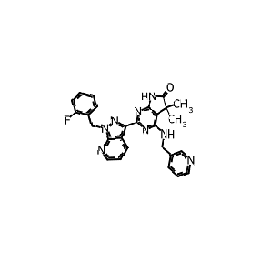 CC1(C)C(=O)Nc2nc(-c3nn(Cc4ccccc4F)c4ncccc34)nc(NCc3cccnc3)c21